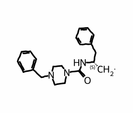 [CH2][C@@H](Cc1ccccc1)NC(=O)N1CCN(Cc2ccccc2)CC1